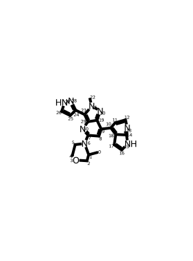 CC1COCCN1c1cc(-c2ccnc3[nH]ccc23)c2nn(C)c(-c3cc[nH]n3)c2n1